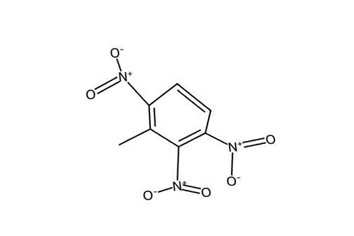 Cc1c([N+](=O)[O-])ccc([N+](=O)[O-])c1[N+](=O)[O-]